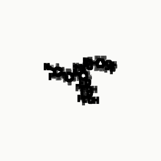 N#Cc1ccc(N2CCC[C@H](N[C@@H]3CCCC[C@H]3Nc3ncc(-c4ccc(OC(F)(F)F)cc4)o3)C2)cc1F.O=C(O)C(F)(F)F.O=C(O)C(F)(F)F